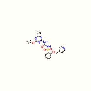 COc1nc(C)nc(NC(=O)NS(=O)(=O)c2ccccc2OCc2ccncc2)n1